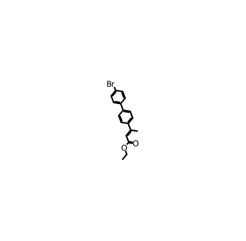 CCOC(=O)/C=C(\C)c1ccc(-c2ccc(Br)cc2)cc1